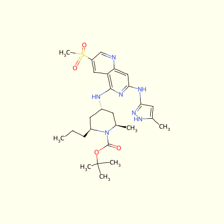 CCC[C@H]1C[C@H](Nc2nc(Nc3cc(C)[nH]n3)cc3ncc(S(C)(=O)=O)cc23)C[C@@H](C)N1C(=O)OC(C)(C)C